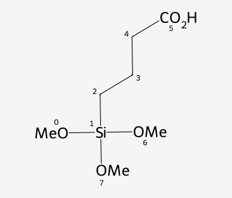 CO[Si](CCCC(=O)O)(OC)OC